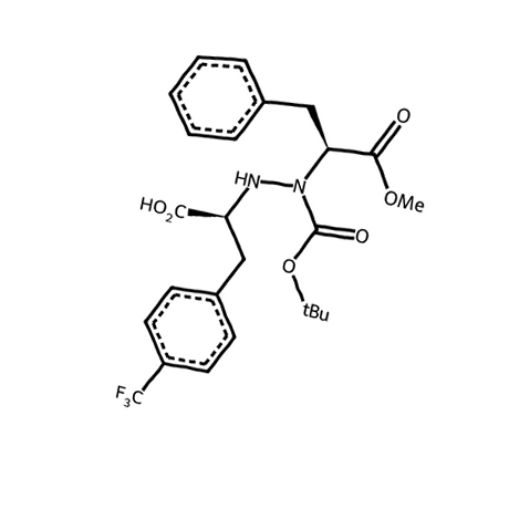 COC(=O)[C@H](Cc1ccccc1)N(N[C@@H](Cc1ccc(C(F)(F)F)cc1)C(=O)O)C(=O)OC(C)(C)C